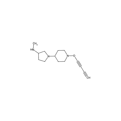 C#CC#CON1CCC(N2CCC(NC)C2)CC1